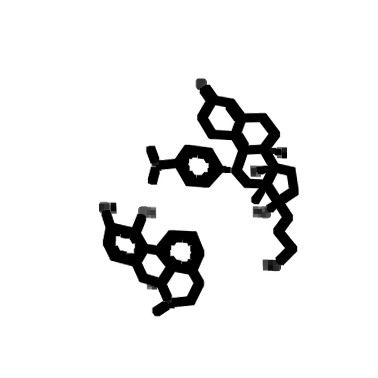 CN(C)c1ccc([C@H]2C[C@]3(C)[C@@H](CC[C@]3(O)CCCO)[C@@H]3CCC4=CC(=O)CCC4=C32)cc1.CN1CCc2cccc3c2[C@H]1Cc1ccc(O)c(O)c1-3